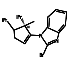 CC(C)C1CC=C(n2c(Br)nc3ccccc32)[C@@]1(C)C(C)C